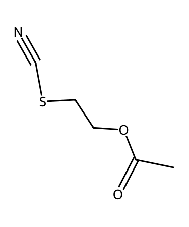 CC(=O)OCCSC#N